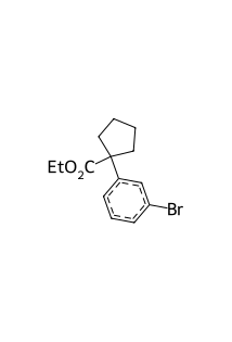 CCOC(=O)C1(c2cccc(Br)c2)CCCC1